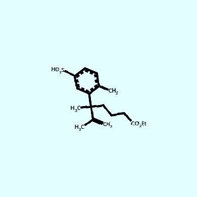 C=C(C)C(C)(CCCC(=O)OCC)c1cc(S(=O)(=O)O)ccc1C